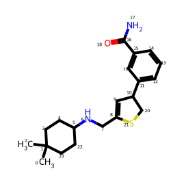 CC1(C)CCC(NCC2=CC(c3cccc(C(N)=O)c3)CS2)CC1